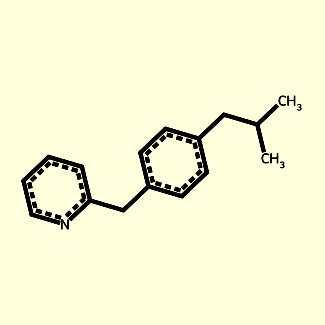 CC(C)Cc1ccc(Cc2ccccn2)cc1